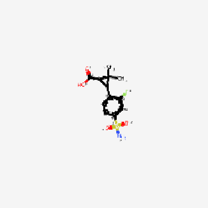 CC1(C)C(C(=O)O)C1c1ccc(S(N)(=O)=O)cc1F